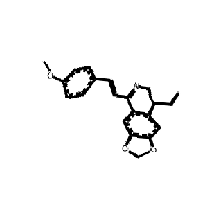 CCC1CN=C(C=Cc2ccc(OC)cc2)c2cc3c(cc21)OCO3